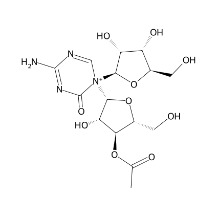 CC(=O)O[C@H]1[C@H](O)[C@H]([N+]2([C@@H]3O[C@H](CO)[C@@H](O)[C@H]3O)C=NC(N)=NC2=O)O[C@@H]1CO